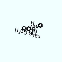 CN(C)C(=O)[C@H]1CC[C@H](NC(=O)OCc2ccccc2)[C@H](NC(=O)OC(C)(C)C)C1